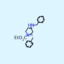 CCOC(=O)N1CC[C@H](NCc2ccccc2)C[C@@H]1Cc1ccccc1